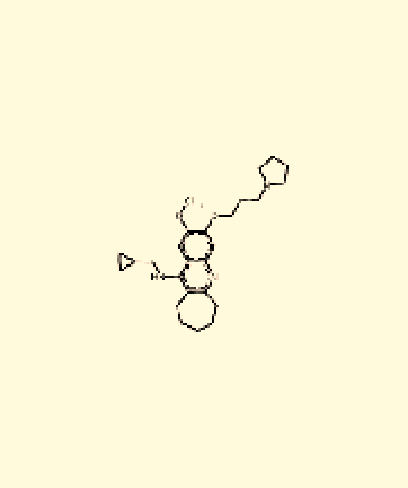 COc1cc2c(NCC3CC3)c3c(nc2cc1OCCCN1CCCC1)CCCCC3